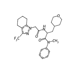 CN(C(=O)C(CC1CCOCC1)NC(=O)Cn1nc(C(F)(F)F)c2c1CCCC2)c1ccccc1